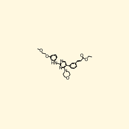 CCOC(=O)C=Cc1cccc(-c2cnc(Nc3cccc(OCCOC)c3)nc2N2CCOCC2)c1